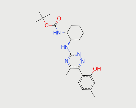 Cc1ccc(-c2nnc(N[C@@H]3CCCC[C@H]3NC(=O)OC(C)(C)C)nc2C)c(O)c1